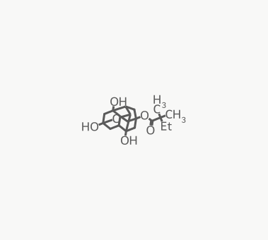 CCC(C)(C)C(=O)OC12CC3C4CC5(O)CC(C(C1)C3(O)C5)C4(O)C2